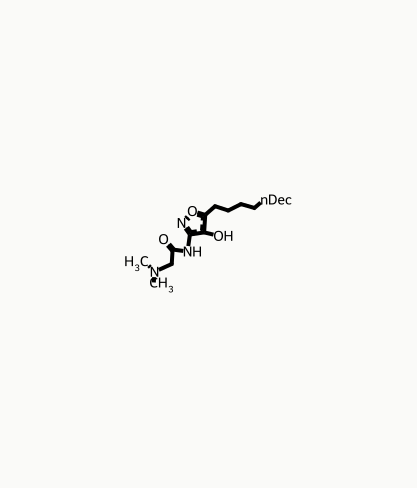 CCCCCCCCCCCCCCc1onc(NC(=O)CN(C)C)c1O